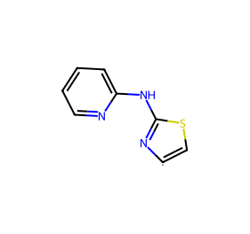 [c]1csc(Nc2ccccn2)n1